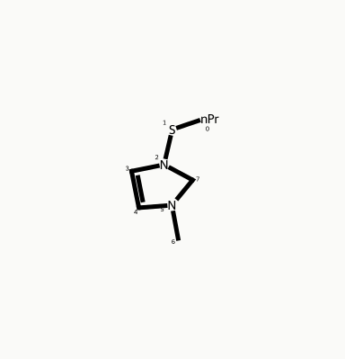 CCCSN1C=CN(C)C1